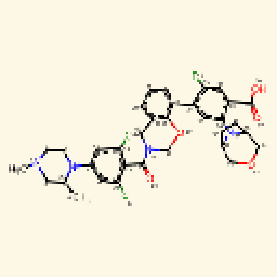 C[C@H]1CN(C)CCN1c1cc(Cl)c(C(=O)N2COc3c(cccc3-c3cc(N4C5CCC4COC5)c(C(=O)O)cc3F)C2)c(Cl)c1